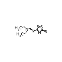 CCN(C=Nc1nc(=S)ss1)CC